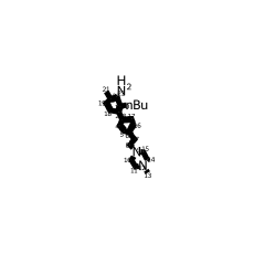 CCCCc1c(-c2ccc(CCN3CCN(C)CC3)cc2)ccc(C)c1N